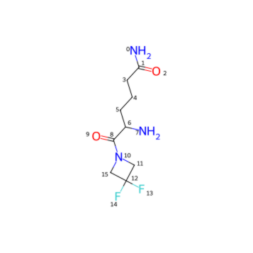 NC(=O)CCCC(N)C(=O)N1CC(F)(F)C1